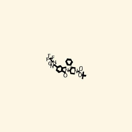 CC(C)(C)OC(=O)N1CC[C@@H](N2Cc3cc(-c4noc(C(F)(F)F)n4)ccc3C2=O)[C@H](c2ccccc2)C1